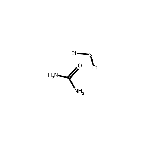 CCSCC.NC(N)=O